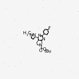 Cn1ccc(-c2nc(-c3ccc(F)cc3)nc3c2CCN(C(=O)OC(C)(C)C)C3)n1